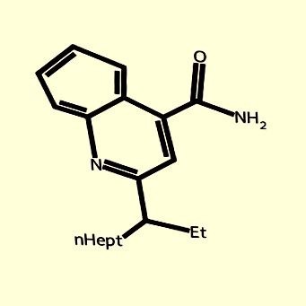 CCCCCCCC(CC)c1cc(C(N)=O)c2ccccc2n1